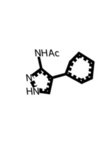 CC(=O)Nc1n[nH]cc1-c1ccccc1